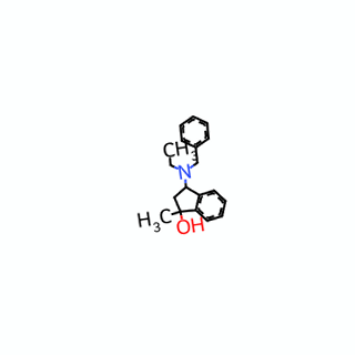 CCN(Cc1ccccc1)C1CC(C)(O)c2ccccc21